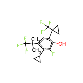 CC(C)(c1cc(C2(C(F)(F)F)CC2)c(O)c(F)c1C1CC1)C(F)(F)F